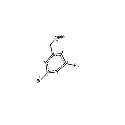 CO[CH]c1cc(F)cc(Br)c1